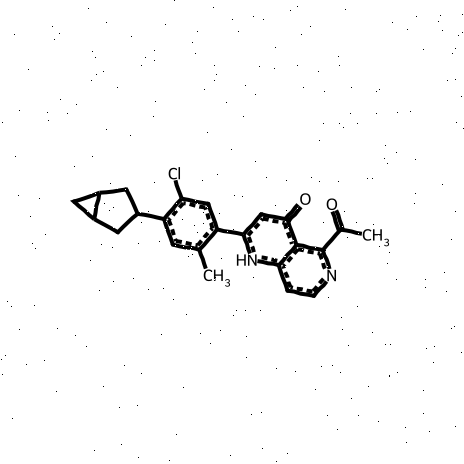 CC(=O)c1nccc2[nH]c(-c3cc(Cl)c(C4CC5CC5C4)cc3C)cc(=O)c12